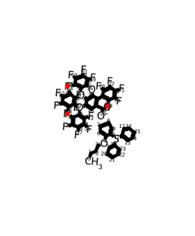 CCCCOc1ccccc1[S+](c1ccccc1)c1ccccc1.O=C([O-])c1cc(Oc2c(F)c(F)c(F)c(F)c2F)c(Oc2c(F)c(F)c(F)c(F)c2F)c(Oc2c(F)c(F)c(F)c(F)c2F)c1-c1c(F)c(F)c(F)c(F)c1F